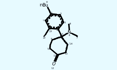 CCCCc1ccc(C2(N(C)C)CCC(=O)CC2)c(C)c1